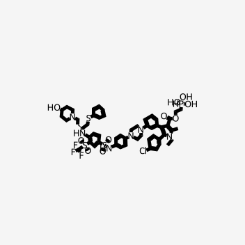 CCn1c(C)c(C(=O)OCC[PH](O)(O)O)c(-c2cccc(N3CCN(c4ccc(NS(=O)(=O)c5ccc(N[C@H](CCN6CCC(O)CC6)CSc6ccccc6)c(S(=O)(=O)C(F)(F)F)c5)cc4)CC3)c2)c1-c1ccc(Cl)cc1